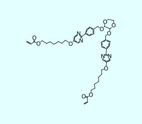 C=CC(=O)OCCCCCCCOc1cnc(-c2ccc(COC3OCCOC3OCc3ccc(-c4ncc(OCCCCCCCOC(=O)C=C)cn4)cc3)cc2)nc1